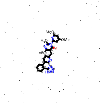 CCCCc1nc(C)n(-c2cc(OC)cc(OC)n2)c(=O)c1Cc1ccc(-c2ccccc2-c2nnn[nH]2)cn1